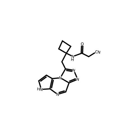 N#CCC(=O)NC1(Cc2nnc3cnc4[nH]ccc4n23)CCC1